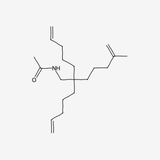 C=CCCCC(CCCC=C)(CCCC(=C)C)CNC(C)=O